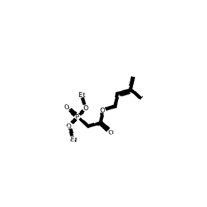 CCOP(=O)(CC(=O)OCC=C(C)C)OCC